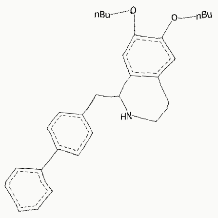 CCCCOc1cc2c(cc1OCCCC)C(Cc1ccc(-c3ccccc3)cc1)NCC2